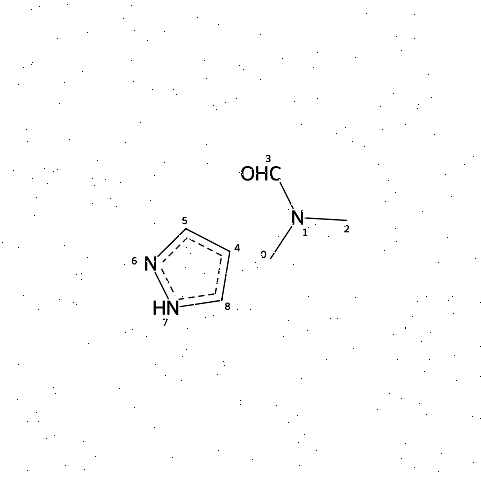 CN(C)C=O.c1cn[nH]c1